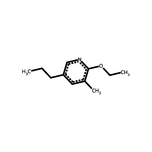 CCCc1cnc(OCC)c(C)c1